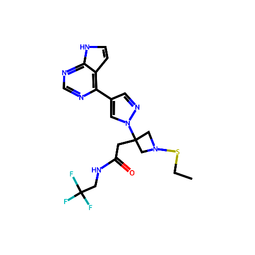 CCSN1CC(CC(=O)NCC(F)(F)F)(n2cc(-c3ncnc4[nH]ccc34)cn2)C1